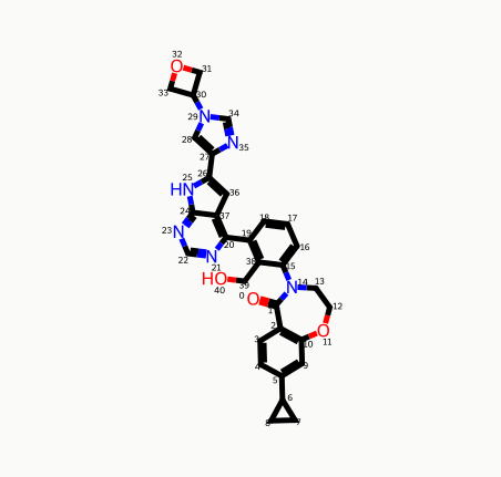 O=C1c2ccc(C3CC3)cc2OCCN1c1cccc(-c2ncnc3[nH]c(-c4cn(C5COC5)cn4)cc23)c1CO